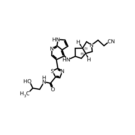 CC(O)CNC(=O)c1cnc(-c2cnc3[nH]ccc3c2NC2C[C@@H]3CN(CCC#N)C[C@@H]3C2)s1